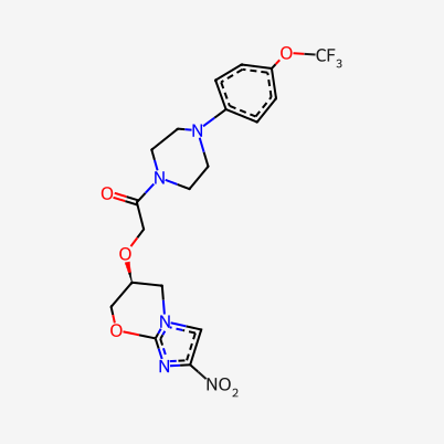 O=C(CO[C@@H]1COc2nc([N+](=O)[O-])cn2C1)N1CCN(c2ccc(OC(F)(F)F)cc2)CC1